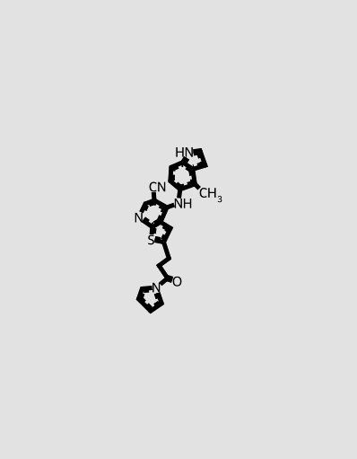 Cc1c(Nc2c(C#N)cnc3sc(CCC(=O)n4cccc4)cc23)ccc2[nH]ccc12